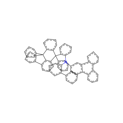 c1ccc(-c2ccccc2N(c2ccc3c4ccccc4c4ccccc4c3c2)c2ccccc2C2(c3ccccc3)c3ccccc3C3(c4ccccc4)c4ccccc4-c4cccc2c43)cc1